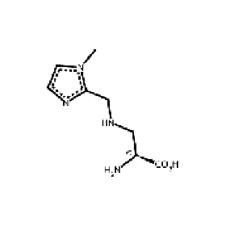 Cn1ccnc1CNC[C@H](N)C(=O)O